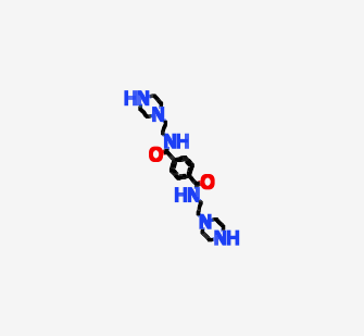 O=C(NCCN1CCNCC1)c1ccc(C(=O)NCCN2CCNCC2)cc1